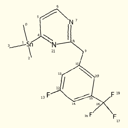 [CH3][Sn]([CH3])([CH3])[c]1ccnc(Cc2cc(F)cc(C(F)(F)F)c2)n1